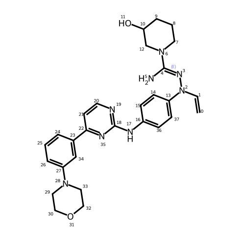 C=CN(/N=C(\N)N1CCCC(O)C1)c1ccc(Nc2nccc(-c3cccc(N4CCOCC4)c3)n2)cc1